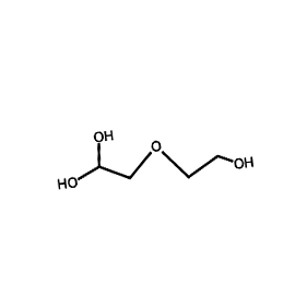 OCCOCC(O)O